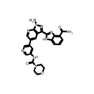 NC(=O)c1cccc2[nH]c(-c3nn(N)c4ncc(-c5cncc(NC(=O)N6CCOCC6)c5)cc34)nc12